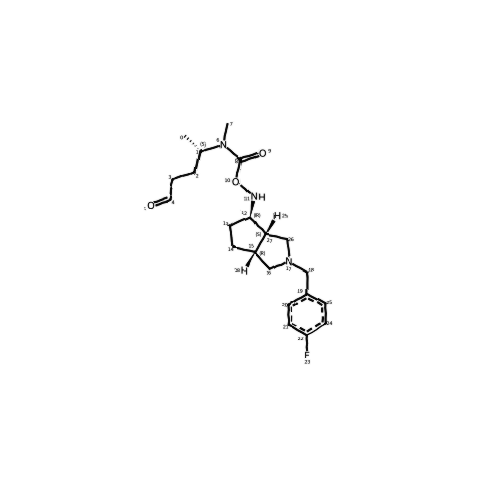 C[C@@H](CCC=O)N(C)C(=O)ON[C@@H]1CC[C@H]2CN(Cc3ccc(F)cc3)C[C@H]21